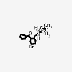 CC(C)(C)OC(=O)NCc1ccc(Br)cc1C(=O)c1ccccc1